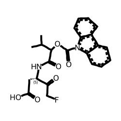 CC(C)C(OC(=O)n1c2ccccc2c2ccccc21)C(=O)N[C@@H](CC(=O)O)C(=O)CF